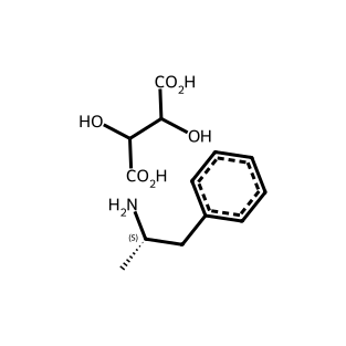 C[C@H](N)Cc1ccccc1.O=C(O)C(O)C(O)C(=O)O